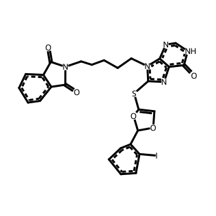 O=C1c2ccccc2C(=O)N1CCCCCn1c(SC2=COC(c3ccccc3I)O2)nc2c(=O)[nH]cnc21